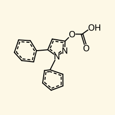 O=C(O)Oc1cc(-c2ccccc2)n(-c2ccccc2)n1